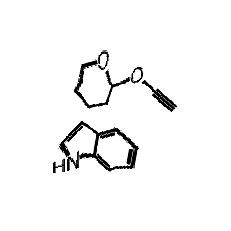 C#COC1CCCCO1.c1ccc2[nH]ccc2c1